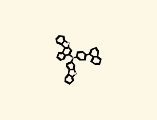 c1ccc2c(-c3ccc(N(c4ccc5c(c4)oc4ccccc45)c4cc5oc6ccccc6c5c5ccccc45)cc3)cccc2c1